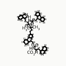 CC(C)(CCc1ccc2c(c1)-c1ccccc1C2COC(=O)N[C@@H](Cc1cncc2ccccc12)C(=O)O)OC(=O)[C@H](Cc1cncc2ccccc12)NC(=O)OCC1c2ccccc2-c2ccccc21